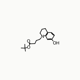 CC(C)(C)OC(=O)CCCN1CCCc2ccc(O)cc21